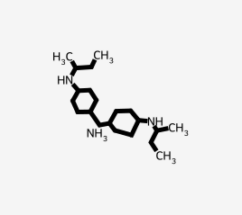 CCC(C)NC1CCC(CC2CCC(NC(C)CC)CC2)CC1.N